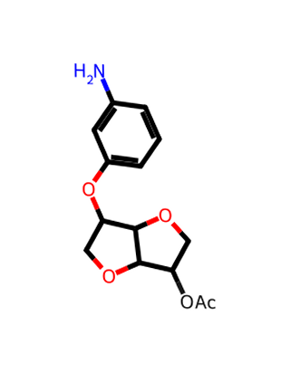 CC(=O)OC1COC2C(Oc3cccc(N)c3)COC12